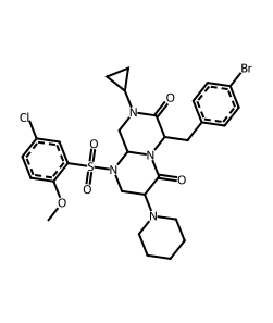 COc1ccc(Cl)cc1S(=O)(=O)N1CC(N2CCCCC2)C(=O)N2C(Cc3ccc(Br)cc3)C(=O)N(C3CC3)CC21